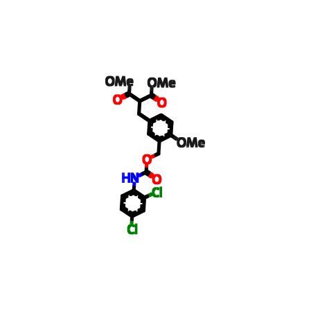 COC(=O)C(Cc1ccc(OC)c(COC(=O)Nc2ccc(Cl)cc2Cl)c1)C(=O)OC